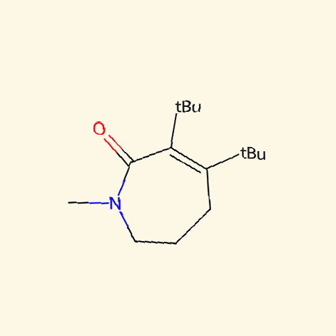 CN1CCCC(C(C)(C)C)=C(C(C)(C)C)C1=O